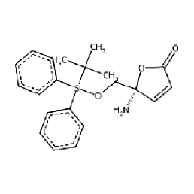 CC(C)(C)[Si](OC[C@]1(N)C=CC(=O)O1)(c1ccccc1)c1ccccc1